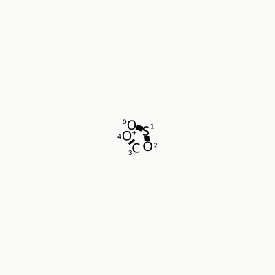 O=S=O.[C-]#[O+]